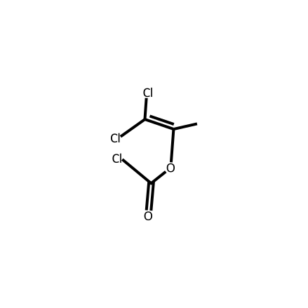 CC(OC(=O)Cl)=C(Cl)Cl